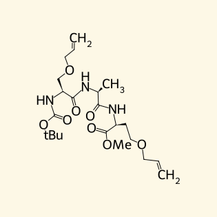 C=CCOCC[C@H](NC(=O)[C@H](C)NC(=O)[C@H](COCC=C)NC(=O)OC(C)(C)C)C(=O)OC